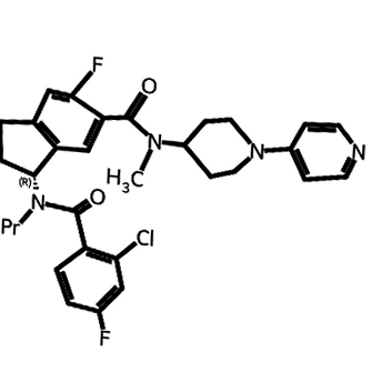 CC(C)N(C(=O)c1ccc(F)cc1Cl)[C@@H]1CCc2cc(F)c(C(=O)N(C)C3CCN(c4ccncc4)CC3)cc21